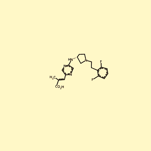 C/C(=C\c1cnc(N[C@@H]2CCN(CCc3c(F)cccc3F)C2)cn1)C(=O)O